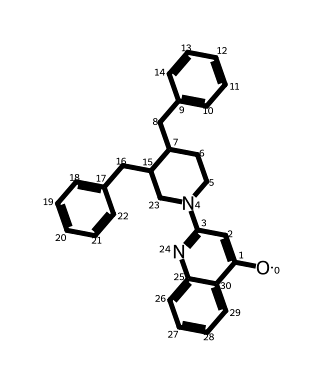 [O]c1cc(N2CCC(Cc3ccccc3)C(Cc3ccccc3)C2)nc2ccccc12